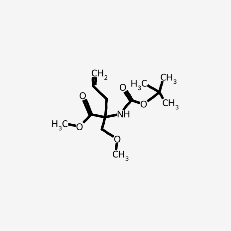 C=CCC(COC)(NC(=O)OC(C)(C)C)C(=O)OC